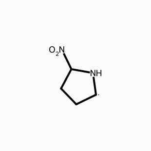 O=[N+]([O-])C1CC[CH]N1